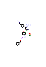 NC(=O)Cc1ccc(-c2c(Oc3ccc(NC(=O)NC(=O)Cc4ccc(F)cc4)cc3F)ccnc2N)cc1.O=C(O)C(F)(F)F